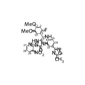 COc1cc(F)c(C(Nc2ccc(-c3noc(C)n3)cc2)C2NC(=O)N(c3ncccc3[N+](=O)[O-])N2)cc1OC